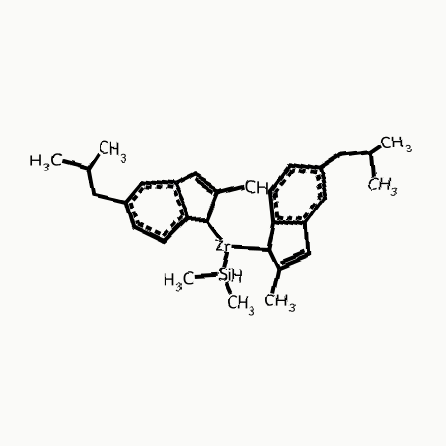 CC1=Cc2cc(CC(C)C)ccc2[CH]1[Zr]([CH]1C(C)=Cc2cc(CC(C)C)ccc21)[SiH](C)C